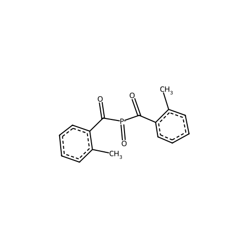 Cc1ccccc1C(=O)[P](=O)C(=O)c1ccccc1C